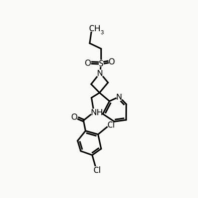 CCCS(=O)(=O)N1CC(CNC(=O)c2ccc(Cl)cc2Cl)(c2ccccn2)C1